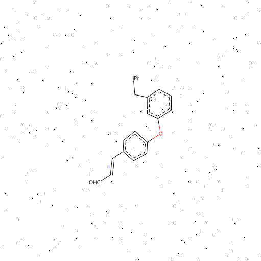 CC(C)Cc1cccc(Oc2ccc(/C=C/C=O)cc2)c1